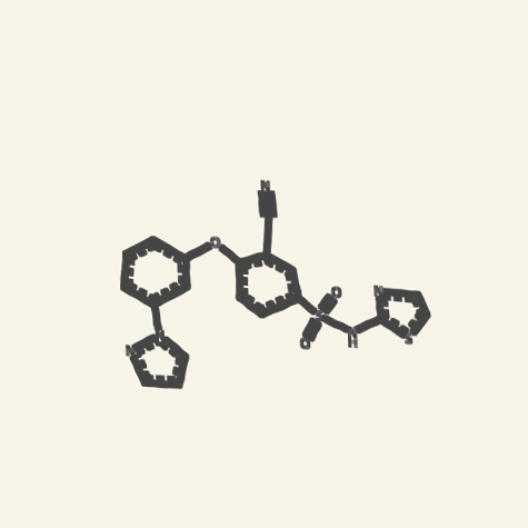 N#Cc1cc(S(=O)(=O)Nc2nccs2)ccc1Oc1cccc(-n2cccn2)c1